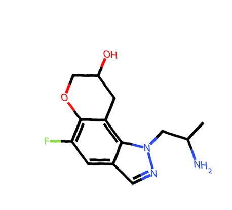 CC(N)Cn1ncc2cc(F)c3c(c21)CC(O)CO3